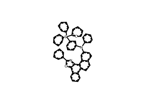 c1ccc(-c2nc3c(o2)c2ccccc2c2ccc4ccc(N(c5ccccc5)c5cccc([Si](c6ccccc6)(c6ccccc6)c6ccccc6)c5)cc4c23)cc1